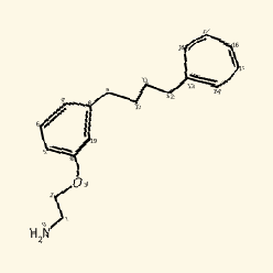 NCCOc1cccc(CCCCc2ccccc2)c1